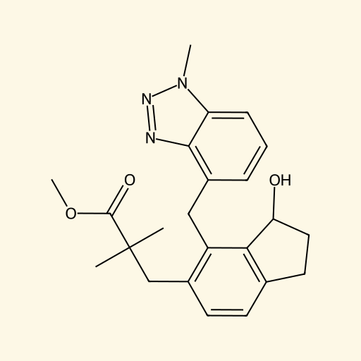 COC(=O)C(C)(C)Cc1ccc2c(c1Cc1cccc3c1nnn3C)C(O)CC2